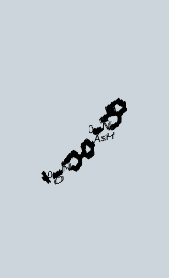 CC(C)(C)OC(=O)N1CC=C(c2ccc([AsH]C(=O)N3CCc4ccccc4C3)cc2)CC1